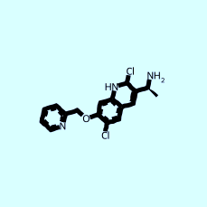 C[C@H](N)C1=Cc2cc(Cl)c(OCc3ccccn3)cc2NC1Cl